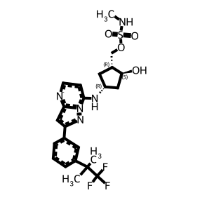 CNS(=O)(=O)OC[C@H]1C[C@@H](Nc2ccnc3cc(-c4cccc(C(C)(C)C(F)(F)F)c4)nn23)C[C@@H]1O